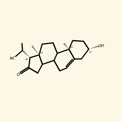 CC(C#N)[C@H]1C(=O)CC2C3CC=C4C[C@@H](O)CC[C@]4(C)C3CC[C@@]21C